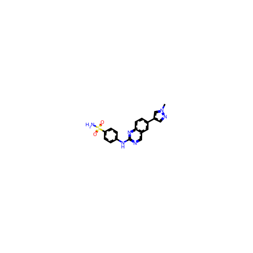 Cn1cc(-c2ccc3nc(Nc4ccc(S(N)(=O)=O)cc4)ncc3c2)cn1